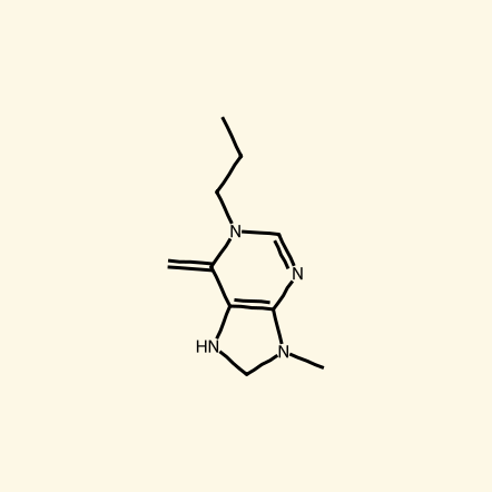 C=C1C2=C(N=CN1CCC)N(C)CN2